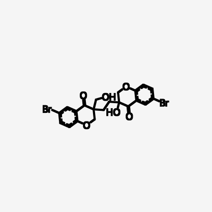 O=C1c2cc(Br)ccc2OCC1(O)CCC1(CO)COc2ccc(Br)cc2C1=O